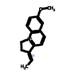 C/C=C1\CC[n+]2c1ccc1cc(OC)ccc12